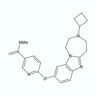 C=C(NC)c1ccc(Oc2ccc3nc4n(c3c2)CCN(C2CCC2)CC4)nc1